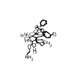 CCC1(C(=O)O)C(COCCN)NC(C)C(C)(C(=O)OS(=O)(=O)c2ccccc2)C1c1ccc(Cl)cc1